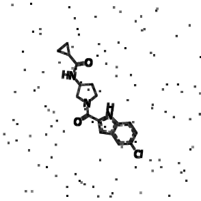 O=C(NC1CCN(C(=O)c2cc3cc(Cl)ccc3[nH]2)C1)C1CC1